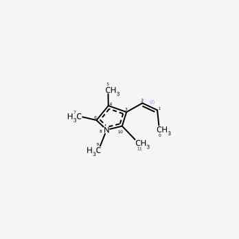 C/C=C\c1c(C)c(C)n(C)c1C